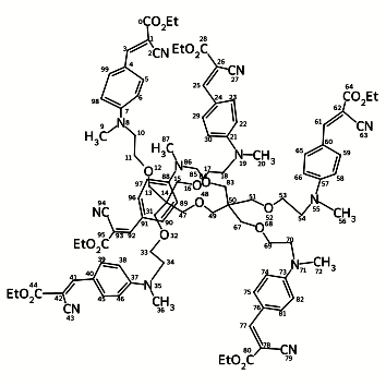 CCOC(=O)/C(C#N)=C/c1ccc(N(C)CCOCC(COCCN(C)c2ccc(/C=C(\C#N)C(=O)OCC)cc2)(COCCN(C)c2ccc(/C=C(\C#N)C(=O)OCC)cc2)COCC(COCCN(C)c2ccc(/C=C(\C#N)C(=O)OCC)cc2)(COCCN(C)c2ccc(/C=C(\C#N)C(=O)OCC)cc2)COCN(C)c2ccc(/C=C(\C#N)C(=O)OCC)cc2)cc1